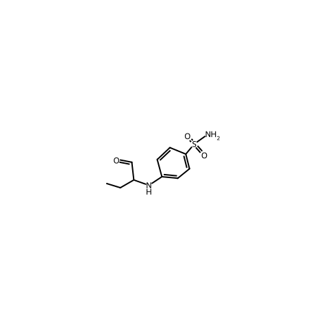 CCC(C=O)Nc1ccc(S(N)(=O)=O)cc1